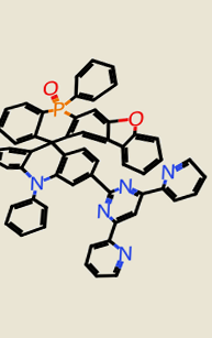 O=P1(c2ccccc2)c2ccccc2C2(c3ccccc3N(c3ccccc3)c3cc(-c4nc(-c5ccccn5)cc(-c5ccccn5)n4)ccc32)c2cc3c(cc21)oc1ccccc13